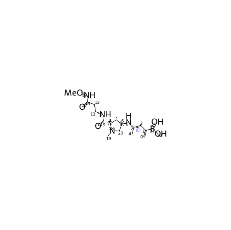 C=C(/C=C(\C)N[C@@H]1C[C@@H](C(=O)NCCC(=O)NOC)N(C)C1)B(O)O